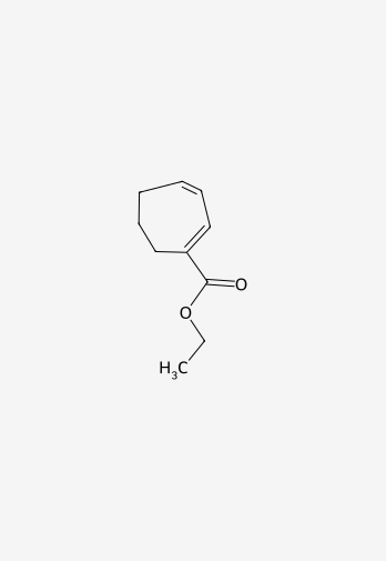 CCOC(=O)C1=CC=CCCC1